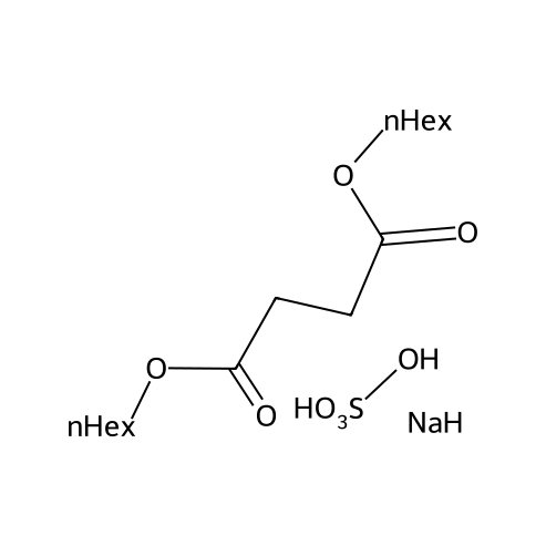 CCCCCCOC(=O)CCC(=O)OCCCCCC.O=S(=O)(O)O.[NaH]